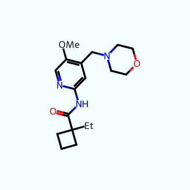 CCC1(C(=O)Nc2cc(CN3CCOCC3)c(OC)cn2)CCC1